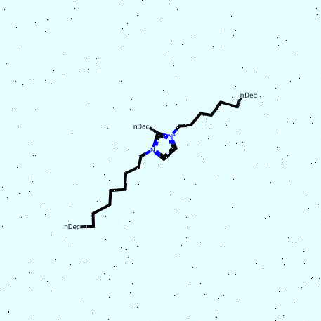 CCCCCCCCCCCCCCCCCCn1cc[n+](CCCCCCCCCCCCCCCC)c1CCCCCCCCCC